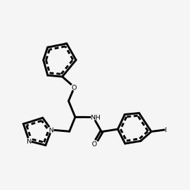 O=C(NC(COc1ccccc1)Cn1ccnc1)c1ccc(I)cc1